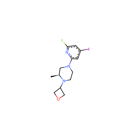 C[C@H]1CN(c2cc(I)cc(F)n2)CCN1C1COC1